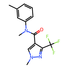 Cc1cccc(N(C)C(=O)c2cn(C)nc2C(F)(F)F)c1